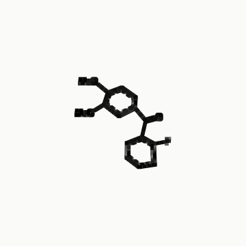 COc1ccc(C(=O)c2ccccc2F)cc1OC